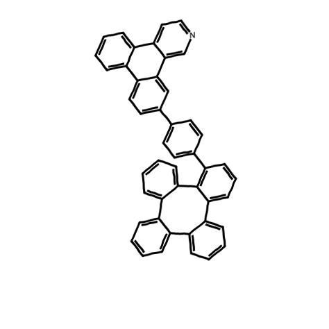 c1ccc2c(c1)-c1ccccc1-c1cccc(-c3ccc(-c4ccc5c6ccccc6c6ccncc6c5c4)cc3)c1-c1ccccc1-2